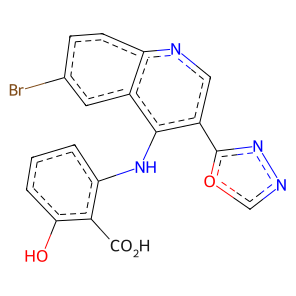 O=C(O)c1c(O)cccc1Nc1c(-c2nnco2)cnc2ccc(Br)cc12